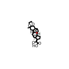 COC(C(=O)O)=C1CC[C@H]2[C@@H]3CC=C4CC5(OCCO5)C(C)C[C@]4(C(F)F)[C@H]3CC[C@]12C